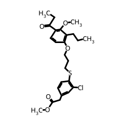 CCCc1c(OCCCSc2ccc(CC(=O)OC)cc2Cl)ccc(C(=O)CC)c1OC